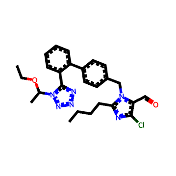 CCCCc1nc(Cl)c(C=O)n1Cc1ccc(-c2ccccc2-c2nnnn2C(C)OCC)cc1